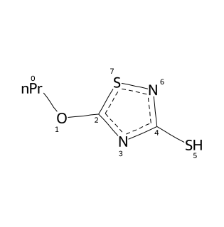 CCCOc1nc(S)ns1